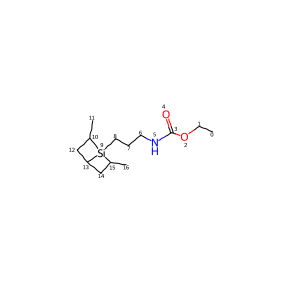 CCOC(=O)NCCC[Si]12C(C)CC1CC2C